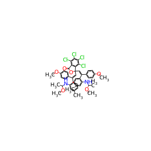 COc1ccc(C(=CC2(C=C(c3ccc(OC)cc3)c3ccc(C)cc3NC(C)OC)OC(=O)c3c(Cl)c(Cl)c(Cl)c(Cl)c32)c2ccc(C)cc2NC(C)OC)cc1